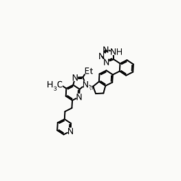 CCc1nc2c(C)cc(CCc3cccnc3)nc2n1[C@H]1CCc2cc(-c3ccccc3-c3nnn[nH]3)ccc21